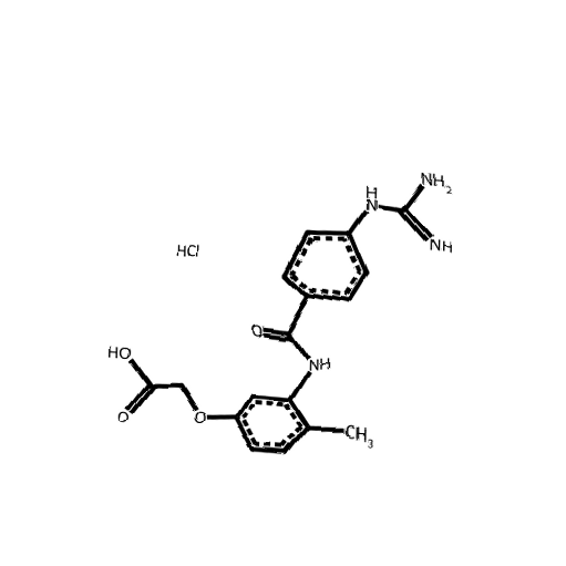 Cc1ccc(OCC(=O)O)cc1NC(=O)c1ccc(NC(=N)N)cc1.Cl